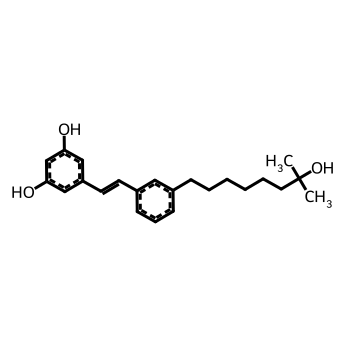 CC(C)(O)CCCCCCc1cccc(/C=C/c2cc(O)cc(O)c2)c1